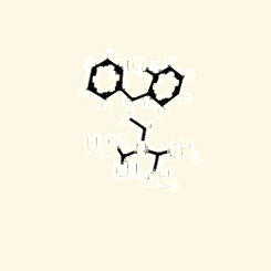 CC(C)N(CC[C@H](c1ccccc1)c1ccccc1O)C(C)C